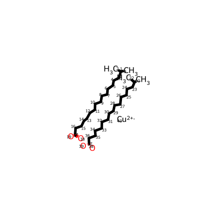 CC(C)CCCCCCCCCCCCCCC(=O)[O-].CC(C)CCCCCCCCCCCCCCC(=O)[O-].[Cu+2]